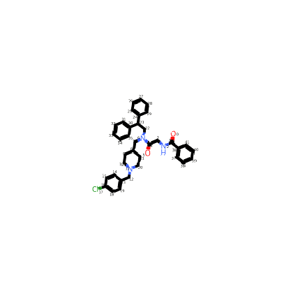 O=C(NCC(=O)N(CC1CCN(Cc2ccc(Cl)cc2)CC1)CC(c1ccccc1)c1ccccc1)c1ccccc1